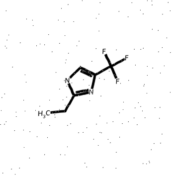 CCC1=NC(C(F)(F)F)=[C][N]1